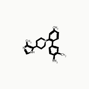 Cc1ccc(-c2ccc(P)c(C)c2)c(N2CCC(c3[nH]cnc3C)CC2)c1